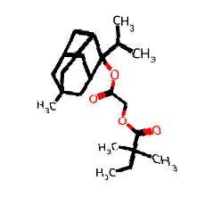 CCC(C)(C)C(=O)OCC(=O)OC1(C(C)C)C2CC3CC1CC(C)(C3)C2